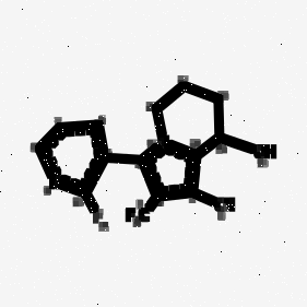 N#Cc1c(C(F)(F)F)c(-c2cccnc2F)n2c1C(O)CCC2